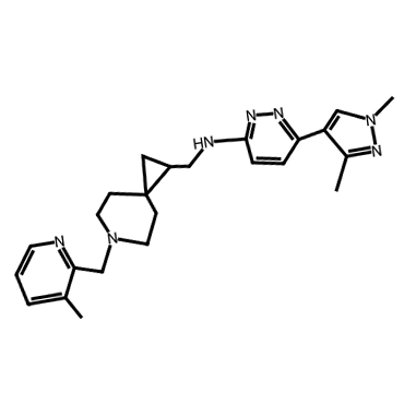 Cc1cccnc1CN1CCC2(CC1)CC2CNc1ccc(-c2cn(C)nc2C)nn1